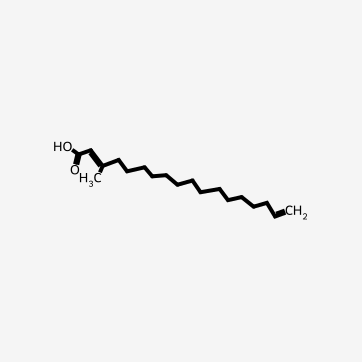 C=CCCCCCCCCCCCCC/C(C)=C/C(=O)O